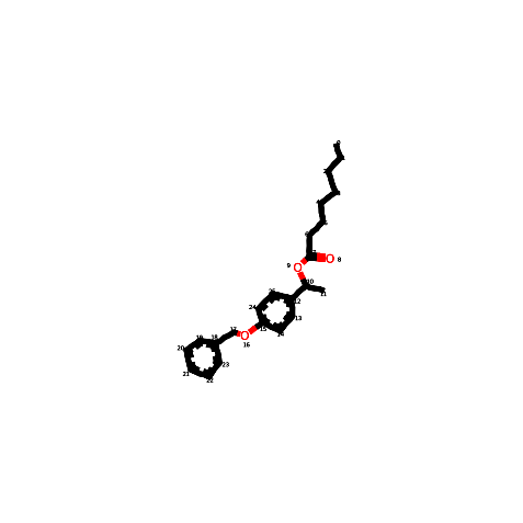 CCCCCCCC(=O)OC(C)c1ccc(OCc2ccccc2)cc1